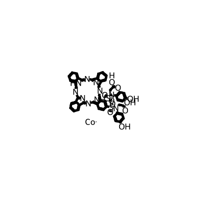 O=C(O)CN(c1ccc(O)cc1)S(=O)(=O)c1ccc2c3nc4nc(nc5[nH]c(nc6nc(nc([nH]3)c2c1S(=O)(=O)N(CC(=O)O)c1ccc(O)cc1)-c1ccccc1-6)c1ccccc51)-c1ccccc1-4.[Co]